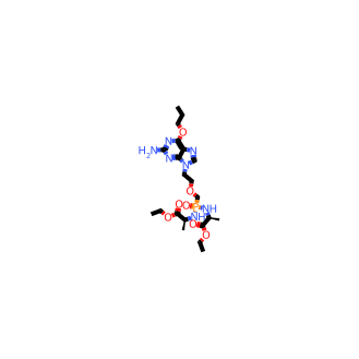 CCCOc1nc(N)nc2c1ncn2CCOCP(=O)(N[C@@H](C)C(=O)OCC)N[C@@H](C)C(=O)OCC